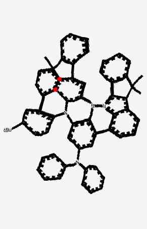 CC(C)(C)c1ccc(N2c3cc4c(cc3B3c5c(cc(N(c6ccccc6)c6ccccc6)cc52)-c2cccc5c6c(n3c25)-c2ccccc2C6(C)C)-c2ccccc2C4(C)C)c(-c2ccccc2)c1